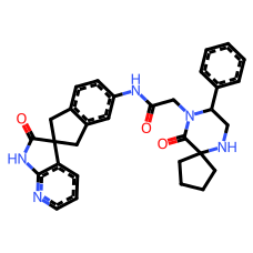 O=C(CN1C(=O)C2(CCCC2)NCC1c1ccccc1)Nc1ccc2c(c1)CC1(C2)C(=O)Nc2ncccc21